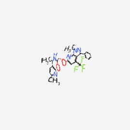 Cc1ccc(C(C)NC(=O)COc2cc(C(F)(F)F)c3c(-c4ccccc4)nn(C)c3n2)cn1